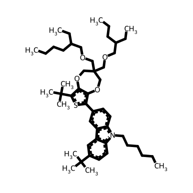 CCCCCCn1c2ccc(-c3sc(C(C)(C)C)c4c3OCC(COCC(CC)CCC)(COCC(CC)CCCC)CO4)cc2c2cc(C(C)(C)C)ccc21